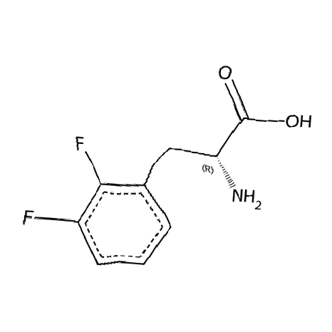 N[C@H](Cc1cccc(F)c1F)C(=O)O